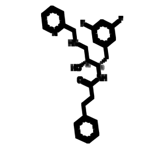 O=C(CCc1ccccc1)N[C@@H](Cc1cc(F)cc(F)c1)[C@H](O)CNCc1ccccn1